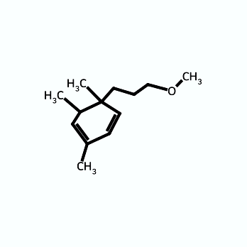 COCCCC1(C)C=CC(C)=CC1C